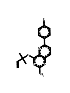 C=CC(C)(C)Oc1nc(N)nc2ccc(-c3ccc(F)cc3)nc12